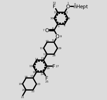 CCCCCCCOc1ccc(C(=O)OC2CCC(c3ccc(C4CCC(C)CC4)c(F)c3F)CC2)cc1F